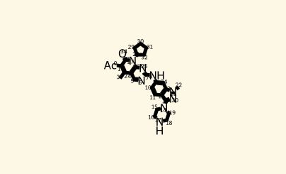 CC(=O)c1c(C)c2cnc(Nc3ccc4c(N5CCNCC5)nn(C)c4c3)nc2n(C2CCCC2)c1=O